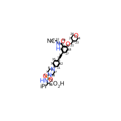 CC(C)C(NS(=O)(=O)N1CCN(c2ccc(C#Cc3ccc(OCC4CCOCC4)c(C(=O)NCC#N)c3)cc2)CC1)C(=O)O